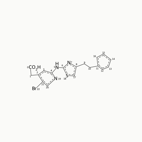 O=C(O)Cc1cc(Nc2nc(CCc3ccccc3)cs2)ncc1Br